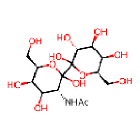 CC(=O)N[C@@H]1[C@@H](O)[C@@H](O)[C@@H](CO)OC1(O)C1(O)O[C@H](CO)[C@H](O)[C@H](O)[C@H]1O